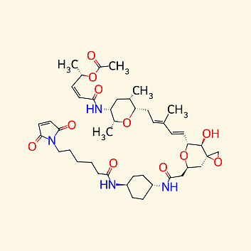 CC(=O)O[C@@H](C)/C=C\C(=O)N[C@@H]1C[C@H](C)[C@H](C/C=C(C)/C=C/[C@H]2O[C@H](CC(=O)N[C@H]3CC[C@H](NC(=O)CCCCCN4C(=O)C=CC4=O)CC3)C[C@@]3(CO3)[C@@H]2O)O[C@@H]1C